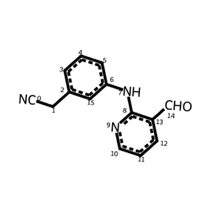 N#CCc1cccc(Nc2ncccc2C=O)c1